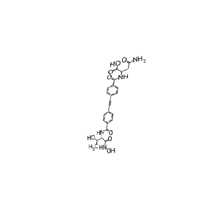 C[C@@H](O)[C@H](NC(=O)c1ccc(C#Cc2ccc(C(=O)NC(CC(N)=O)C(=O)O)cc2)cc1)C(=O)NO